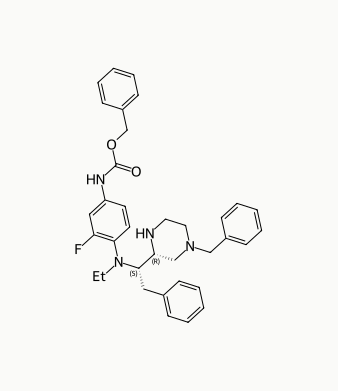 CCN(c1ccc(NC(=O)OCc2ccccc2)cc1F)[C@@H](Cc1ccccc1)[C@H]1CN(Cc2ccccc2)CCN1